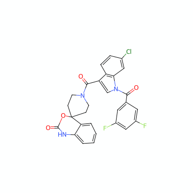 O=C1Nc2ccccc2C2(CCN(C(=O)c3cn(C(=O)c4cc(F)cc(F)c4)c4cc(Cl)ccc34)CC2)O1